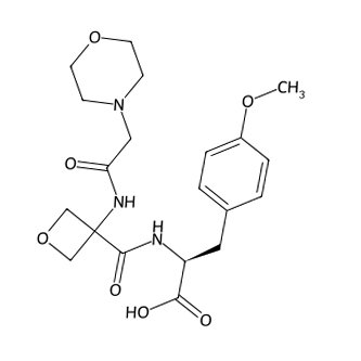 COc1ccc(C[C@H](NC(=O)C2(NC(=O)CN3CCOCC3)COC2)C(=O)O)cc1